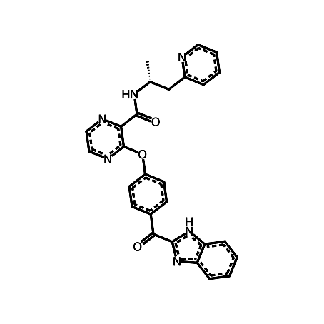 C[C@H](Cc1ccccn1)NC(=O)c1nccnc1Oc1ccc(C(=O)c2nc3ccccc3[nH]2)cc1